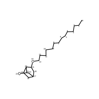 [CH2]CCCCCCCCCCCCCOC1CC2CCC1C([O])C2